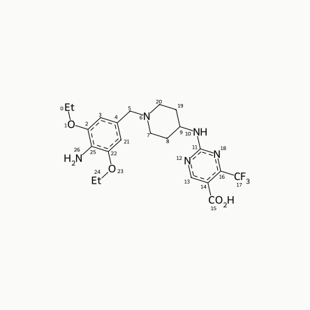 CCOc1cc(CN2CCC(Nc3ncc(C(=O)O)c(C(F)(F)F)n3)CC2)cc(OCC)c1N